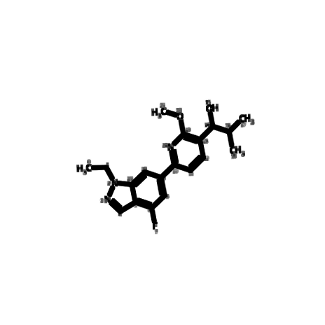 CCn1ncc2c(F)cc(-c3ccc(C(O)C(C)C)c(OC)n3)cc21